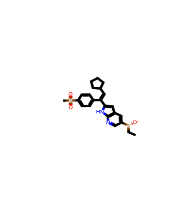 CC[S+]([O-])c1cnc2[nH]c(C(=CC3CCCC3)c3ccc(S(C)(=O)=O)cc3)cc2c1